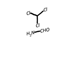 ClC(Cl)Cl.NC=O